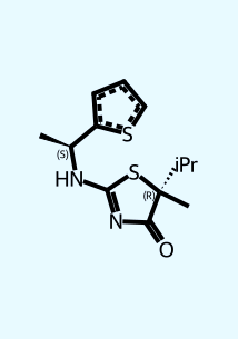 CC(C)[C@@]1(C)SC(N[C@@H](C)c2cccs2)=NC1=O